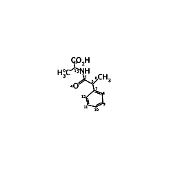 CC(NC(=O)C(C)c1ccccc1)C(=O)O